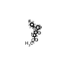 CCOC(=O)c1cnc2c(c1)C(=O)N([C@@H]1COCC[C@H]1Oc1ccc(F)cc1)C2